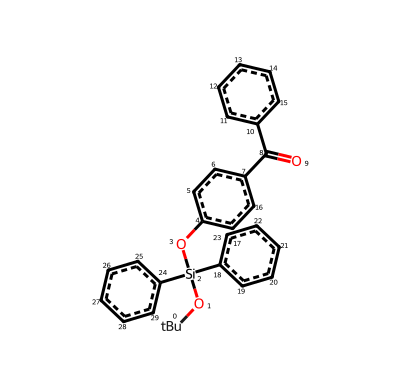 CC(C)(C)O[Si](Oc1ccc(C(=O)c2ccccc2)cc1)(c1ccccc1)c1ccccc1